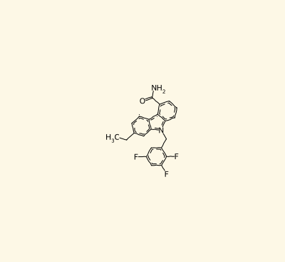 CCc1c[c]c2c3c(C(N)=O)cccc3n(Cc3cc(F)cc(F)c3F)c2c1